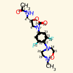 CC(=O)NC[C@H]1CN(c2cc(F)c(N3CCON(C)CC3)c(F)c2)C(=O)O1